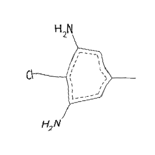 Cc1cc(N)c(Cl)c(N)c1